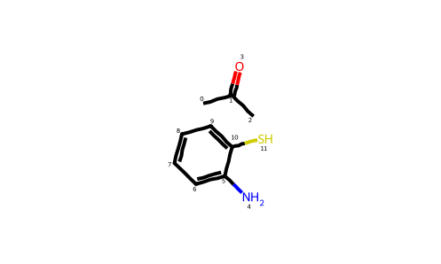 CC(C)=O.Nc1ccccc1S